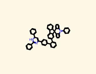 C1=C(c2ccc(-c3ccccc3-c3ccc4c(c3)C3(c5ccccc5-4)c4ccccc4N(c4ccccc4)c4ccccc43)cc2)N=C(c2ccccc2)NC1c1ccccc1